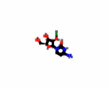 Nc1ccn(C2O[C@H](CO)[C@@H](O)[C@@H]2OF)c(=O)n1